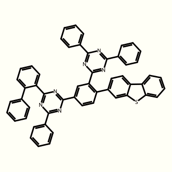 c1ccc(-c2nc(-c3ccc(-c4ccc5c(c4)sc4ccccc45)c(-c4nc(-c5ccccc5)nc(-c5ccccc5)n4)c3)nc(-c3ccccc3-c3ccccc3)n2)cc1